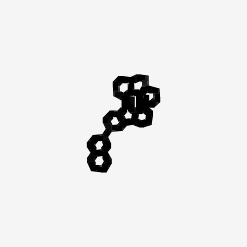 c1ccc2cc(-c3ccc4c(c3)c3ccccc3n4-c3cccc4ccc5cccnc5c34)ccc2c1